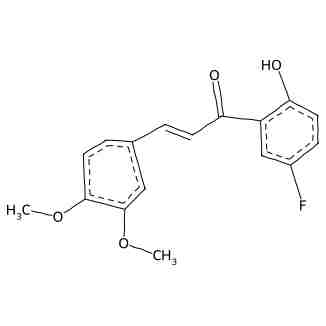 COc1ccc(/C=C/C(=O)c2cc(F)ccc2O)cc1OC